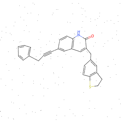 O=c1[nH]c2ccc(C#CCc3ccccc3)cc2cc1Cc1ccc2c(c1)CCS2